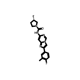 Cc1cc(-c2cn3cnc(NC(=O)N4CC[C@H](F)C4)cc3n2)ccc1F